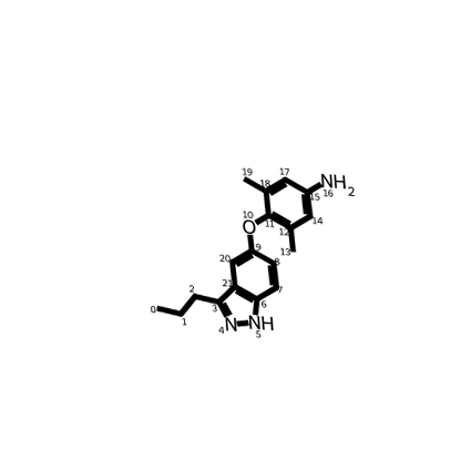 CCCc1n[nH]c2ccc(Oc3c(C)cc(N)cc3C)cc12